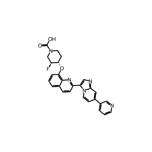 O=C(O)N1CC[C@H](Oc2cccc3ccc(-c4cnc5cc(-c6cccnc6)ccn45)nc23)[C@@H](F)C1